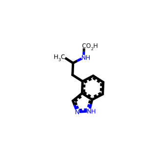 CC(Cc1cccc2[nH]ncc12)NC(=O)O